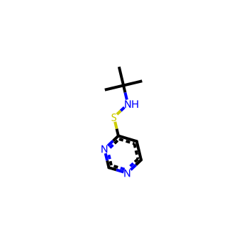 CC(C)(C)NSc1ccncn1